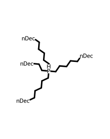 CCCCCCCCCCCCCCC[PH](CCCCCCCCCCCC)(CCCCCCCCCCCCCCC)CCCCCCCCCCCCCCC